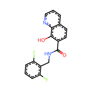 O=C(NCc1c(F)cccc1F)c1ccc2cccnc2c1O